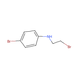 BrCCNc1ccc(Br)cc1